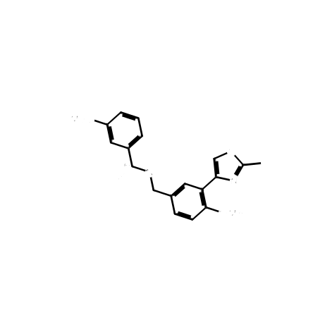 COc1cccc([C@@H](C)NCc2ccc(OC)c(-c3csc(C)n3)c2)c1